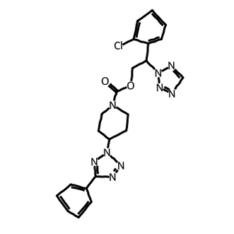 O=C(OCC(c1ccccc1Cl)n1ncnn1)N1CCC(n2nnc(-c3ccccc3)n2)CC1